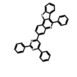 c1ccc(-c2cc(-c3ccc4c(c3)nc(-c3ccccc3)c3c5ccccc5sc43)nc(-c3ccccc3)n2)cc1